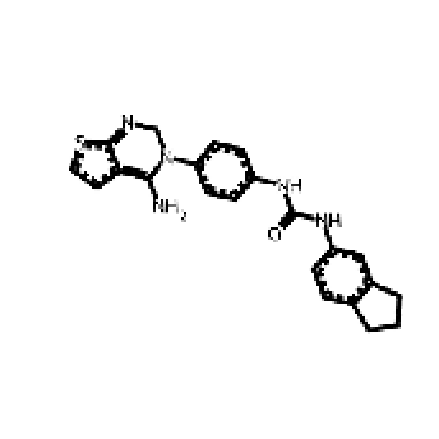 NC1=c2ccsc2=NCN1c1ccc(NC(=O)Nc2ccc3c(c2)CCC3)cc1